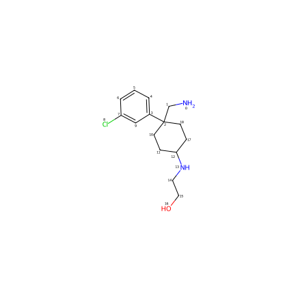 NCC1(c2cccc(Cl)c2)CCC(NCCO)CC1